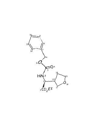 CCOC(=O)[C@@H](NC(=O)OCc1ccccc1)C1CCOC1